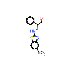 O=[N+]([O-])c1ccc2sc(NCC(CO)c3ccccc3)nc2c1